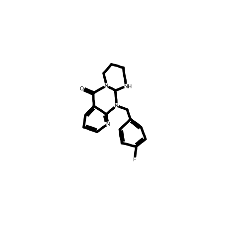 O=C1c2cccnc2N(Cc2ccc(F)cc2)C2NCCCN12